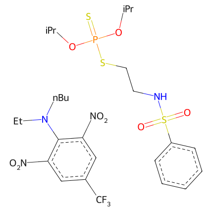 CC(C)OP(=S)(OC(C)C)SCCNS(=O)(=O)c1ccccc1.CCCCN(CC)c1c([N+](=O)[O-])cc(C(F)(F)F)cc1[N+](=O)[O-]